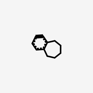 c1ccc2c(c#1)CCCCC2